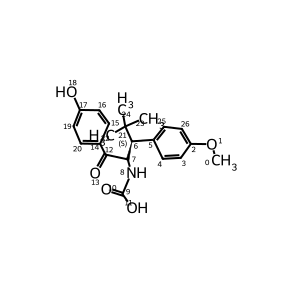 COc1ccc([C@@H](C(NC(=O)O)C(=O)c2ccc(O)cc2)C(C)(C)C)cc1